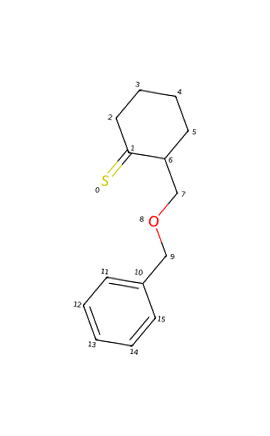 S=C1CCCCC1COCc1ccccc1